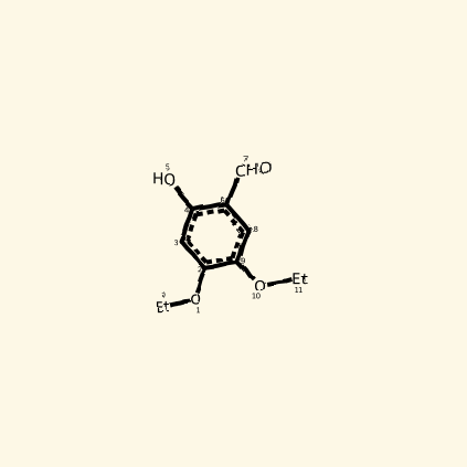 CCOc1cc(O)c(C=O)cc1OCC